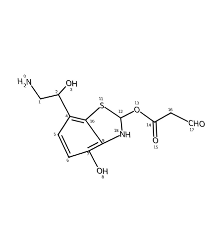 NCC(O)c1ccc(O)c2c1SC(OC(=O)CC=O)N2